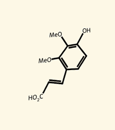 COc1c(O)ccc(C=CC(=O)O)c1OC